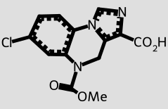 COC(=O)N1Cc2c(C(=O)O)ncn2-c2ccc(Cl)cc21